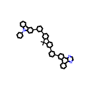 CC1(C)c2cc(-c3cccc(-c4ccc5c(c4)c4ccccc4c4nccnc54)c3)ccc2-c2ccc(-c3cccc(-c4ccc5c(c4)c4ccccc4n5-c4ccccc4)c3)cc21